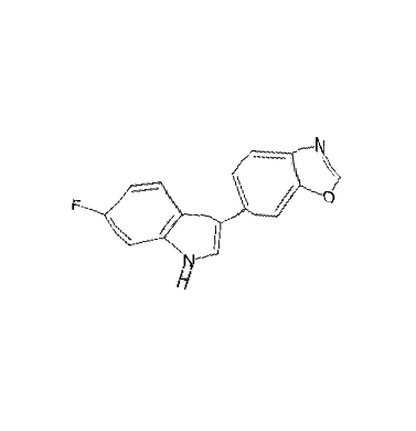 Fc1ccc2c(-c3ccc4ncoc4c3)c[nH]c2c1